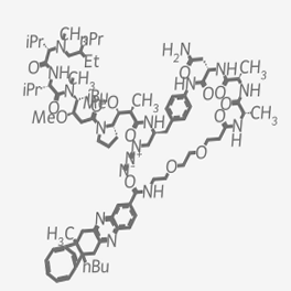 CCCCC12Cc3nc4ccc(C(=O)NCCOCCOCCC(=O)N[C@@H](C)C(=O)N[C@@H](C)C(=O)N[C@@H](CC(N)=O)C(=O)Nc5ccc(C[C@@H](CN=[N+]=[N-])NC(=O)[C@H](C)[C@@H](OC)[C@@H]6CCCN6C(=O)C[C@@H](OC)[C@H]([C@@H](C)CC)N(C)C(=O)[C@@H](NC(=O)[C@H](C(C)C)N(C)CC(CC)CCC)C(C)C)cc5)cc4nc3CC1(C)/C1=C/C=C\C=C/C2=C1